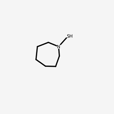 SN1CCCCCC1